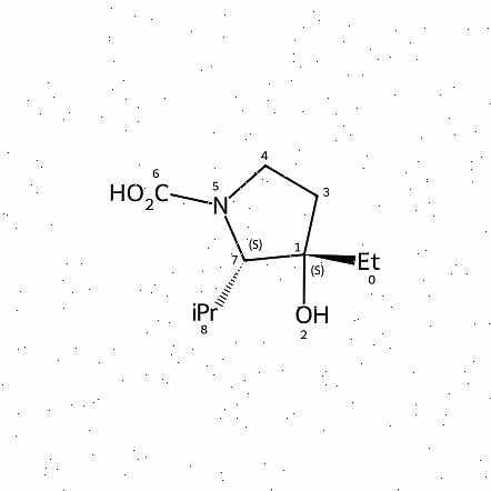 CC[C@]1(O)CCN(C(=O)O)[C@H]1C(C)C